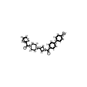 O=C(c1ccc(-c2ccc(Br)cc2)cc1)N1CC(N2CCN(C(=O)c3nccs3)CC2)C1